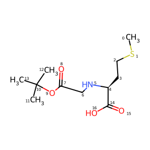 CSCC[C@H](NCC(=O)OC(C)(C)C)C(=O)O